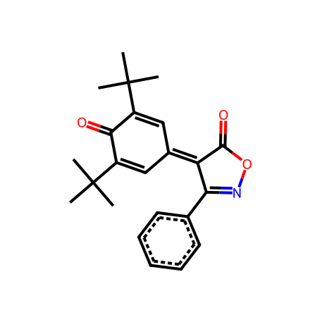 CC(C)(C)C1=CC(=C2C(=O)ON=C2c2ccccc2)C=C(C(C)(C)C)C1=O